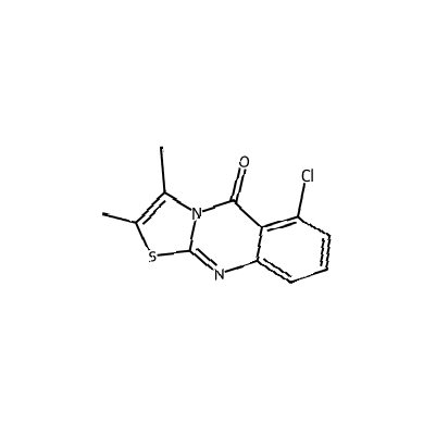 Cc1sc2nc3cccc(Cl)c3c(=O)n2c1C